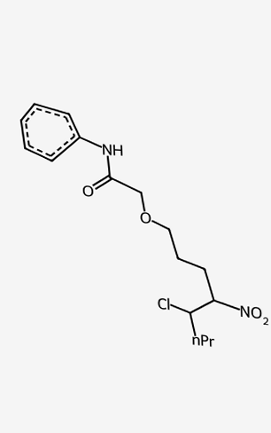 CCCC(Cl)C(CCCOCC(=O)Nc1ccccc1)[N+](=O)[O-]